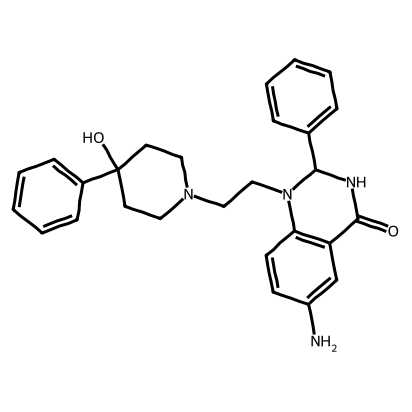 Nc1ccc2c(c1)C(=O)NC(c1ccccc1)N2CCN1CCC(O)(c2ccccc2)CC1